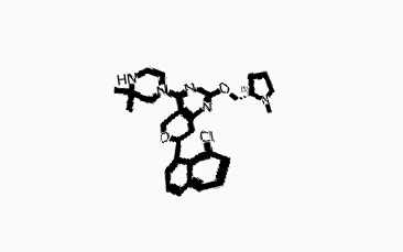 CN1CCC[C@H]1COc1nc2c(c(N3CCNC(C)(C)C3)n1)COC(c1cccc3cccc(Cl)c13)C2